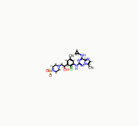 N#Cc1cc(Nc2nc(NC3CC3)c3ncc(C#N)n3n2)c(Cl)c(C(O)CN2CCN([SH](=O)=O)CC2)c1